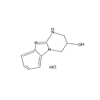 Cl.OC1CNc2nc3ccccc3n2C1